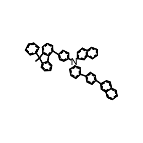 CC1(c2ccccc2)c2ccccc2-c2c(-c3ccc(N(c4cccc(-c5ccc(-c6ccc7ccccc7c6)cc5)c4)c4ccc5ccccc5c4)cc3)cccc21